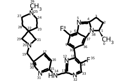 C[C@@H]1CCc2nc3c(F)cc(-c4nc(Nc5ccc(CN6CC7(CCN(C)CC7)C6)cn5)ncc4F)cc3n21